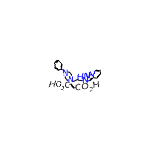 C1=CC2=CN(CCCN3CCN(c4ccccc4)CC3)NN2C=C1.O=C(O)C=CC(=O)O